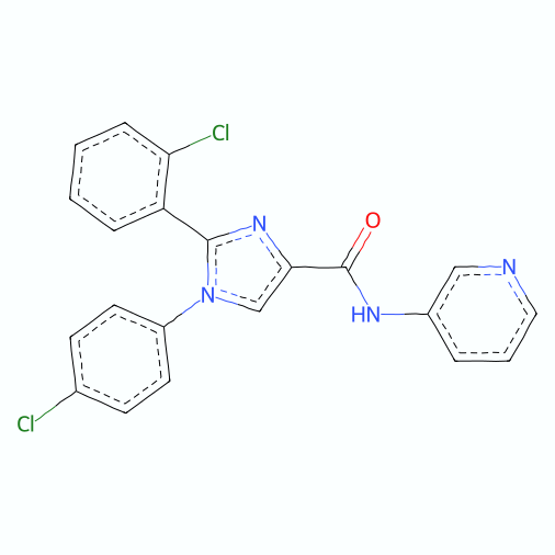 O=C(Nc1cccnc1)c1cn(-c2ccc(Cl)cc2)c(-c2ccccc2Cl)n1